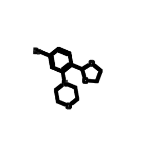 Brc1ccc(C2OCCO2)c(N2CCOCC2)c1